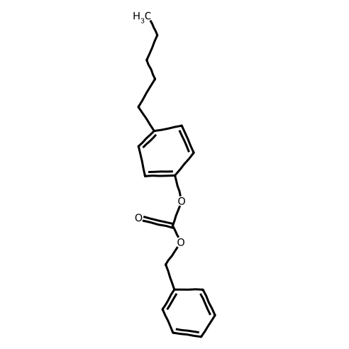 CCCCCc1ccc(OC(=O)OCc2ccccc2)cc1